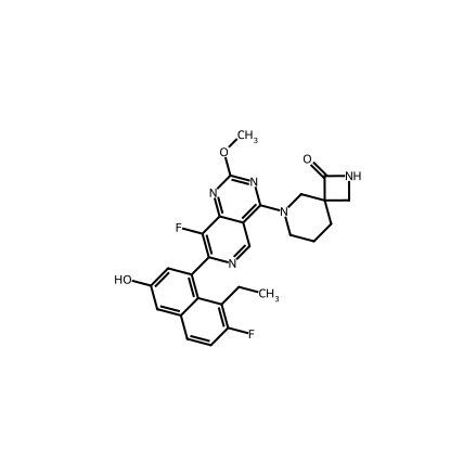 CCc1c(F)ccc2cc(O)cc(-c3ncc4c(N5CCCC6(CNC6=O)C5)nc(OC)nc4c3F)c12